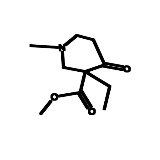 CCC1(C(=O)OC)CN(C)CCC1=O